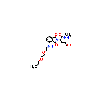 CCCOCCOCCNc1cccc2c1C(=O)N(C(CCC=O)C(=O)NC)C2=O